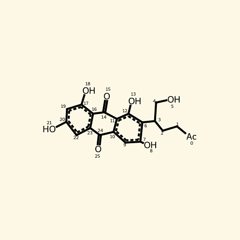 CC(=O)CCC(CO)c1c(O)cc2c(c1O)C(=O)c1c(O)cc(O)cc1C2=O